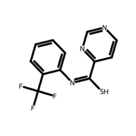 FC(F)(F)c1ccccc1/N=C(/S)c1ccncn1